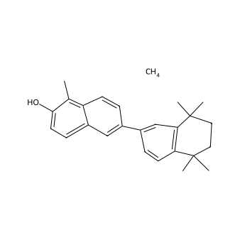 C.Cc1c(O)ccc2cc(-c3ccc4c(c3)C(C)(C)CCC4(C)C)ccc12